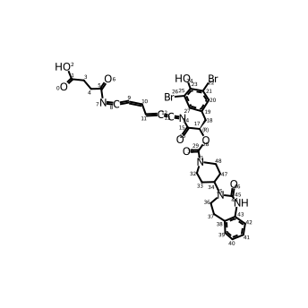 O=C(O)CCC(=O)N=C=C=CC=C=C=NC(=O)[C@@H](Cc1cc(Br)c(O)c(Br)c1)OC(=O)N1CCC(N2CCc3ccccc3NC2=O)CC1